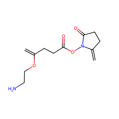 C=C(CCC(=O)ON1C(=C)CCC1=O)OCCN